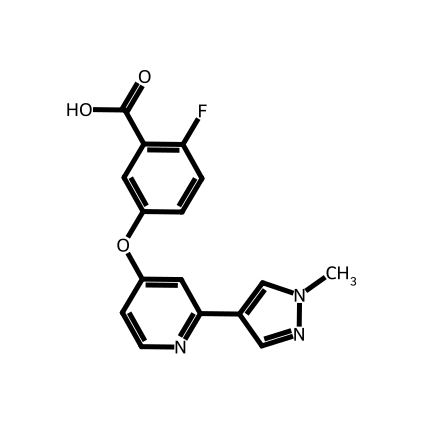 Cn1cc(-c2cc(Oc3ccc(F)c(C(=O)O)c3)ccn2)cn1